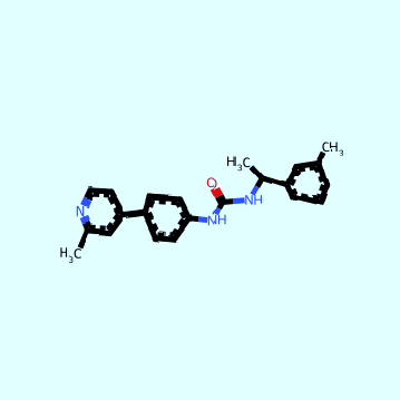 Cc1cccc(C(C)NC(=O)Nc2ccc(-c3ccnc(C)c3)cc2)c1